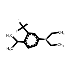 CCN(CC)c1ccc(C(C)C)c(C(F)(F)F)c1